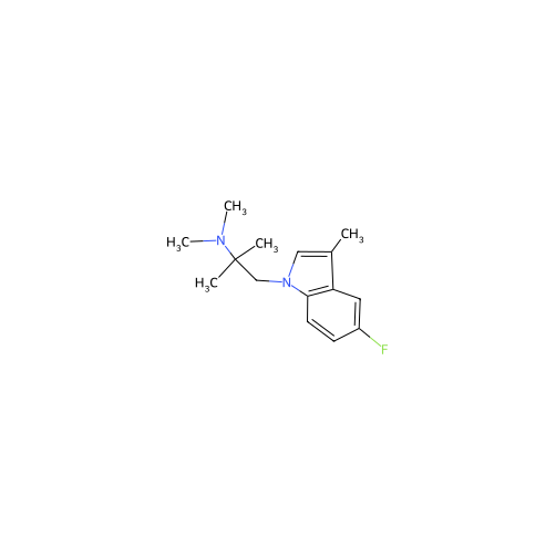 Cc1cn(CC(C)(C)N(C)C)c2ccc(F)cc12